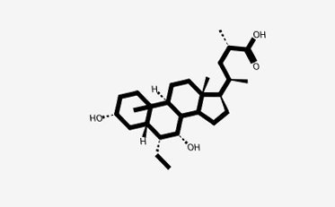 CC[C@H]1[C@@H](O)C2C3CC[C@H]([C@H](C)C[C@H](C)C(=O)O)[C@@]3(C)CC[C@@H]2C2(C)CC[C@@H](O)C[C@@H]12